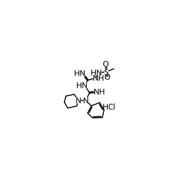 CS(=O)(=O)NNC(=N)NC(=N)N(c1ccccc1)N1CCCCC1.Cl